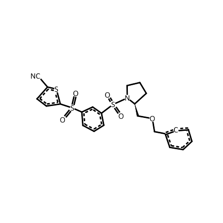 N#Cc1ccc(S(=O)(=O)c2cccc(S(=O)(=O)N3CCC[C@H]3COCc3ccccc3)c2)s1